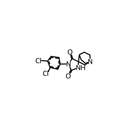 O=C1NC2(CN3CCC2CC3)C(=O)N1c1ccc(Cl)c(Cl)c1